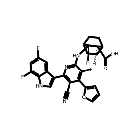 N#Cc1c(-c2c[nH]c3c(F)cc(F)cc23)nc(N[C@@H]2C3CCC(CC3)[C@H]2C(=O)O)c(F)c1-c1ccco1